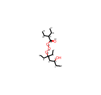 CCC(O)CC(CC)(CC)OOOC(=O)C(CC)CC